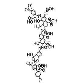 [C-]#[N+]c1nn(-c2ccc(OC)cc2S(=O)(=O)O)c(O)c1N=Nc1ccc(N=Nc2c(S(=O)(=O)O)cc3c(S(=O)(=O)O)c(N=Nc4cc(S(=O)(=O)O)c5cc(SOOO)c(N=Nc6ccc([N+](=O)[O-])cc6S(=O)(=O)O)c(O)c5c4N)ccc3c2O)cc1C(=O)O